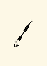 [LiH].[Li][C]#CC#C